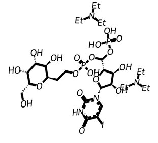 CCN(CC)CC.CCN(CC)CC.O=c1[nH]c(=O)n([C@@H]2O[C@H](C(OP(=O)(O)O)OP(=O)(O)OCC[C@H]3O[C@H](CO)[C@H](O)[C@H](O)[C@H]3O)[C@@H](O)[C@H]2O)cc1I